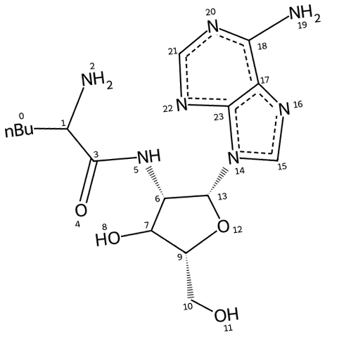 CCCCC(N)C(=O)N[C@H]1C(O)[C@@H](CO)O[C@H]1n1cnc2c(N)ncnc21